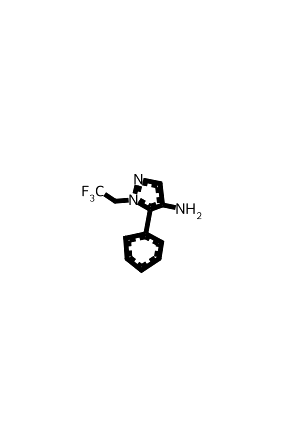 Nc1cnn(CC(F)(F)F)c1-c1ccccc1